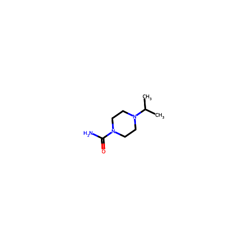 CC(C)N1CCN(C(N)=O)CC1